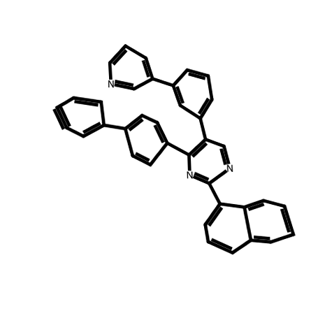 c1ccc(-c2ccc(-c3nc(-c4cccc5ccccc45)ncc3-c3cccc(-c4cccnc4)c3)cc2)cc#1